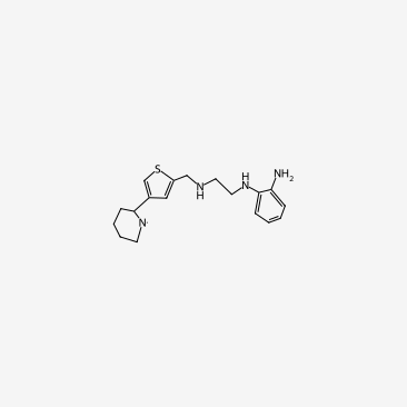 Nc1ccccc1NCCNCc1cc(C2CCCC[N]2)cs1